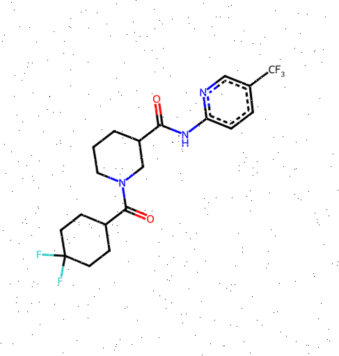 O=C(Nc1ccc(C(F)(F)F)cn1)C1CCCN(C(=O)C2CCC(F)(F)CC2)C1